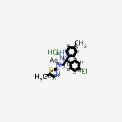 CC(=O)N(C[C@@](N)(c1ccc(C)cc1)c1ccc(Cl)cc1)c1ncc(C)s1.Cl